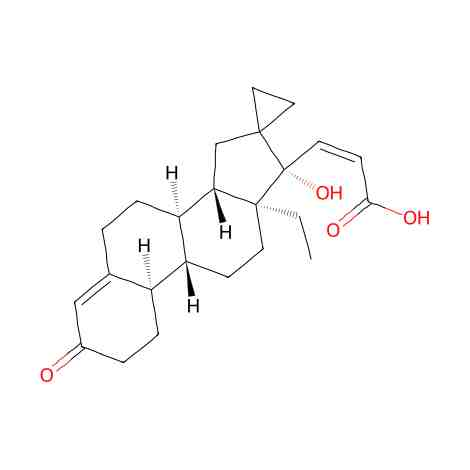 CC[C@]12CC[C@H]3[C@@H](CCC4=CC(=O)CC[C@@H]43)[C@@H]1CC1(CC1)[C@@]2(O)/C=C\C(=O)O